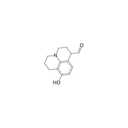 O=CC1CCN2CCCc3c(O)ccc1c32